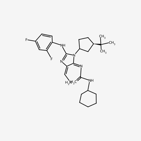 C=C(/N=C1\C(=C/N)N=C(Nc2ccc(F)cc2F)N1C1CC[C@@H](C(C)(C)C)C1)NC1CCCCC1